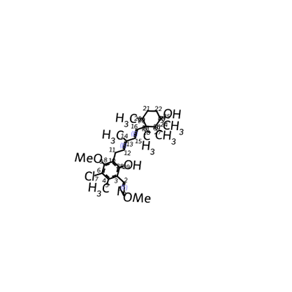 CO/N=C/c1c(C)c(Cl)c(OC)c(C/C=C(C)/C=C/[C@@]2(C)[C@H](C)CC[C@@](C)(O)[C@@H]2C)c1O